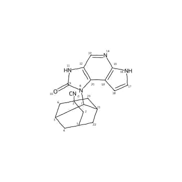 N#CC12CC3CC(C1)C(n1c(=O)[nH]c4cnc5[nH]ccc5c41)C(C3)C2